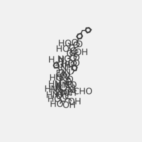 CCC(c1ccccc1)[C@H](NC(=O)CN)C(=O)N[C@@H](Cc1ccc(OC2OC(CO)C(OC3OC4COC(c5ccc(Cc6ccccc6)cc5)OC4C(O)C3O)C(O)C2O)cc1)C(=O)N[C@H](C(=O)N[C@H](C(=O)N(C#N)[C@H]([C]=O)CO)C(O)C1CNC(=N)N1C1OC(CO)C(O)C(O)C1O)C(O)C1CNC(=N)N1